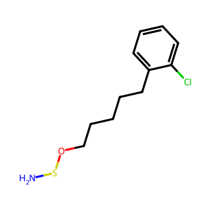 NSOCCCCCc1ccccc1Cl